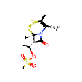 CC1=C(C(=O)O)N2C(=O)[C@H](C(C)OS(C)(=O)=O)[C@H]2SS1